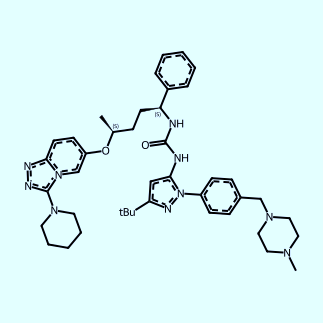 C[C@@H](CC[C@H](NC(=O)Nc1cc(C(C)(C)C)nn1-c1ccc(CN2CCN(C)CC2)cc1)c1ccccc1)Oc1ccc2nnc(N3CCCCC3)n2c1